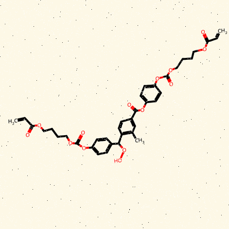 C=CC(=O)OCCCCOC(=O)Oc1ccc(OC(=O)c2ccc(C(OO)c3ccc(OC(=O)OCCCCOC(=O)C=C)cc3)c(C)c2)cc1